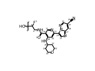 CC(C)(O)C(F)CNC(=O)c1cnc(-c2cnc3cc(C#N)cnn23)cc1NC1CCOCC1